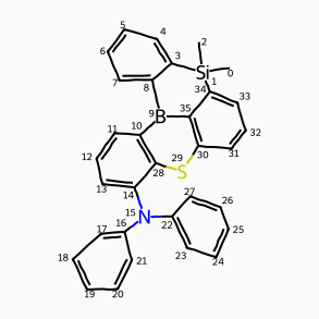 C[Si]1(C)c2ccccc2B2c3cccc(N(c4ccccc4)c4ccccc4)c3Sc3cccc1c32